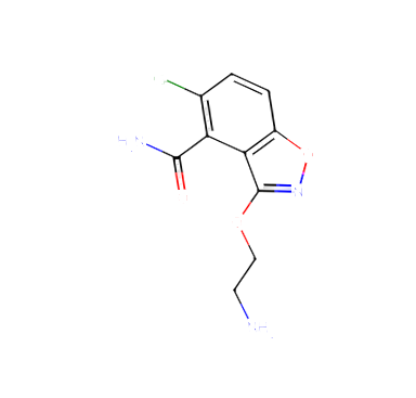 NCCOc1noc2ccc(Cl)c(C(N)=O)c12